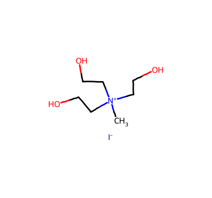 C[N+](CCO)(CCO)CCO.[I-]